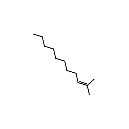 [CH2]C([CH2])=CCCCCCCCC